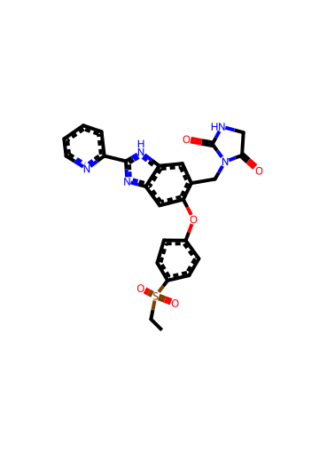 CCS(=O)(=O)c1ccc(Oc2cc3nc(-c4ccccn4)[nH]c3cc2CN2C(=O)CNC2=O)cc1